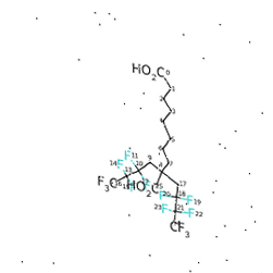 O=C(O)CCCCCCCC(CC(F)(F)C(F)(F)C(F)(F)F)(CC(F)(F)C(F)(F)C(F)(F)F)C(=O)O